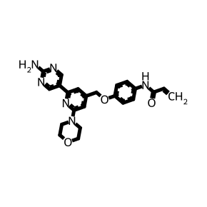 C=CC(=O)Nc1ccc(OCc2cc(-c3cnc(N)nc3)nc(N3CCOCC3)c2)cc1